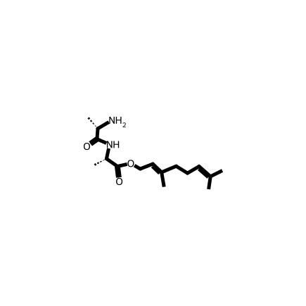 CC(C)=CCC/C(C)=C/COC(=O)[C@H](C)NC(=O)[C@H](C)N